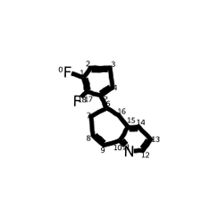 Fc1cccc(C2CC=Cc3ncccc3C2)c1F